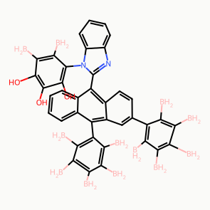 Bc1c(B)c(B)c(-c2ccc3c(-c4nc5ccccc5n4-c4c(B)c(B)c(O)c(O)c4O)c4ccccc4c(-c4c(B)c(B)c(B)c(B)c4B)c3c2)c(B)c1B